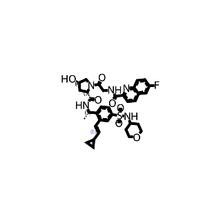 C[C@H](NC(=O)[C@@H]1C[C@@H](O)CN1C(=O)CNC(=O)c1ccc2cc(F)ccc2n1)c1ccc(S(=O)(=O)NC2CCOCC2)cc1/C=C/C1CC1